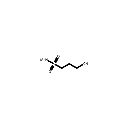 CNS(=O)(=O)CCCC#N